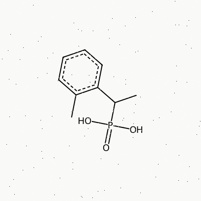 Cc1ccccc1C(C)P(=O)(O)O